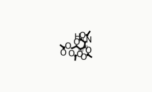 CC(=O)OCC1O[C@H]2OC(C)=NC2[C@@H](OC(C)=O)[C@@H]1OC(C)=O